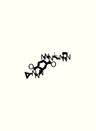 C[C@H](Cn1ccnn1)n1nnc2cc3c(=O)n(C4CC4)nnc3cc2c1=O